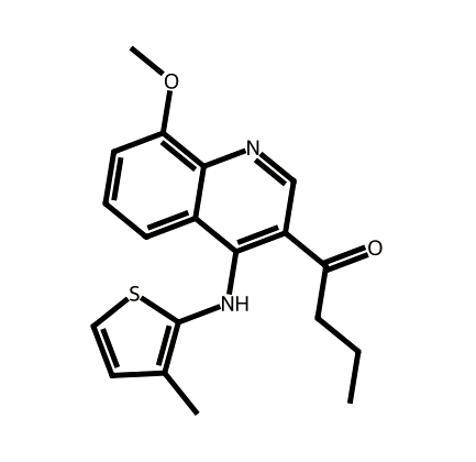 CCCC(=O)c1cnc2c(OC)cccc2c1Nc1sccc1C